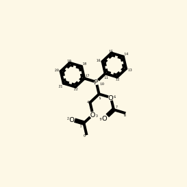 CC(=O)OCC(OC(C)=O)P(c1ccccc1)c1ccccc1